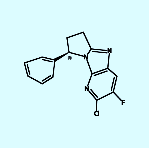 Fc1cc2nc3n(c2nc1Cl)[C@@H](c1ccccc1)CC3